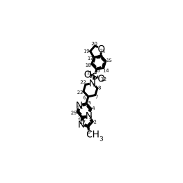 Cc1cn2cc(C3CCN(S(=O)(=O)c4ccc5c(c4)CCO5)CC3)ncc2n1